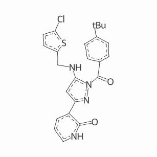 CC(C)(C)c1ccc(C(=O)n2nc(-c3ccc[nH]c3=O)cc2NCc2ccc(Cl)s2)cc1